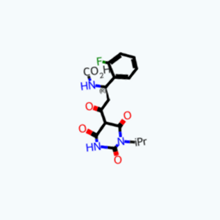 CC(C)N1C(=O)NC(=O)C(C(=O)C[C@@H](NC(=O)O)c2ccccc2F)C1=O